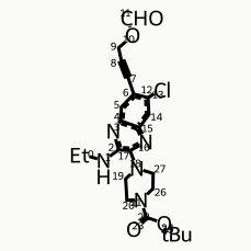 CCNc1nc2cc(C#CCOC=O)c(Cl)cc2nc1N1CCN(C(=O)OC(C)(C)C)CC1